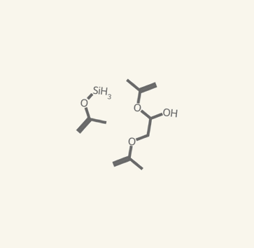 C=C(C)OCC(O)OC(=C)C.C=C(C)O[SiH3]